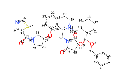 O=C(OCc1ccccc1)[C@H]1CCCC[C@H]1C(=O)N1CCc2cccc(O[C@H]3CCN(C(=O)c4cncs4)C3)c2C1CN1CCCC1=O